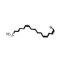 CC/C=C\C/C=C\CCCC/C=C\CCCCC(=O)O